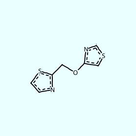 [c]1nc(OCc2nccs2)cs1